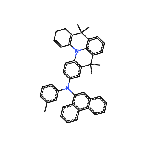 Cc1cccc(N(c2ccc3c(c2)C(C)(C)c2cccc4c2N3C2=C(CCC=C2)C4(C)C)c2cc3ccccc3c3ccccc23)c1